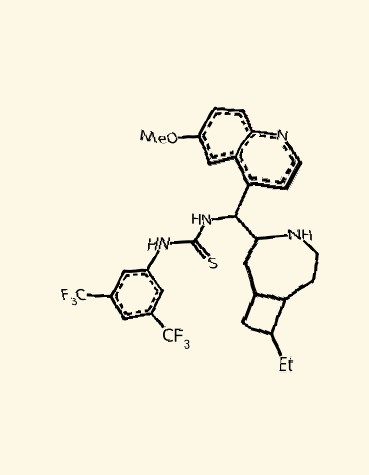 CCC1CC2CC(C(NC(=S)Nc3cc(C(F)(F)F)cc(C(F)(F)F)c3)c3ccnc4ccc(OC)cc34)NCCC12